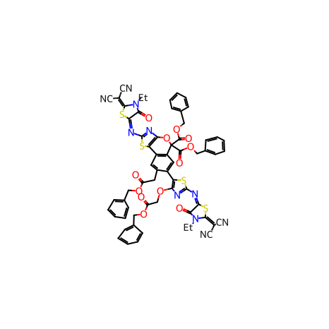 CCN1C(=O)/C(=N\c2nc(OCC(=O)OCc3ccccc3)c(-c3cc4c(cc3CC(=O)OCc3ccccc3)-c3sc(/N=C5/SC(=C(C#N)C#N)N(CC)C5=O)nc3OC4(C(=O)OCc3ccccc3)C(=O)OCc3ccccc3)s2)SC1=C(C#N)C#N